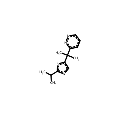 CC(C)c1ncc(C(C)(C)c2cccnn2)s1